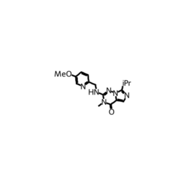 COc1ccc(CNc2nn3c(C(C)C)ncc3c(=O)n2C)nc1